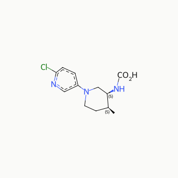 C[C@H]1CCN(c2ccc(Cl)nc2)C[C@H]1NC(=O)O